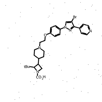 CC(C)(C)C1C(C2CCN(CCOc3ccc(-n4cc(Br)c(-c5ccncc5)n4)cc3)CC2)CN1C(=O)O